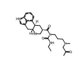 CCNC(=O)N(CCCN(C)CC(C)=O)C(=O)[C@H]1CN[C@@H]2Cc3c[nH]c4cccc(c34)[C@H]2C1